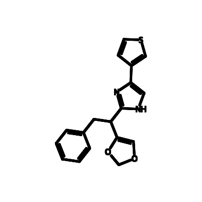 C1=C(C(Cc2ccccc2)c2nc(-c3ccsc3)c[nH]2)OCO1